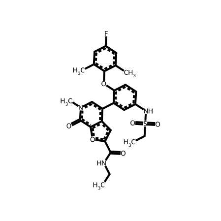 CCNC(=O)c1cc2c(-c3cc(NS(=O)(=O)CC)ccc3Oc3c(C)cc(F)cc3C)cn(C)c(=O)c2o1